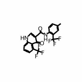 Cc1ccc(NC(=O)c2c[nH]c3cccc(C(F)(F)F)c3c2=O)c(C(F)(F)F)c1